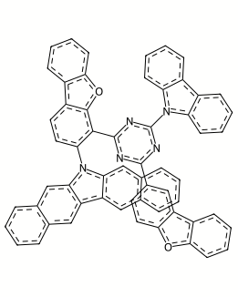 c1ccc2cc3c(cc2c1)c1cc2ccccc2cc1n3-c1ccc2c(oc3ccccc32)c1-c1nc(-c2ccc3oc4ccccc4c3c2)nc(-n2c3ccccc3c3ccccc32)n1